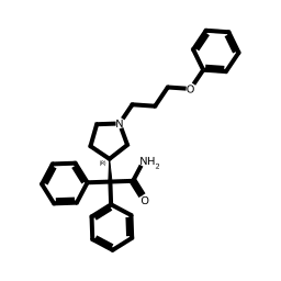 NC(=O)C(c1ccccc1)(c1ccccc1)[C@H]1CCN(CCCOc2ccccc2)C1